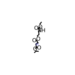 CCOC(=O)NCCCOC(=O)/C=C/C(=O)OC(C)C